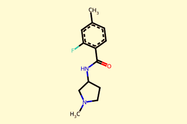 Cc1ccc(C(=O)NC2CCN(C)C2)c(F)c1